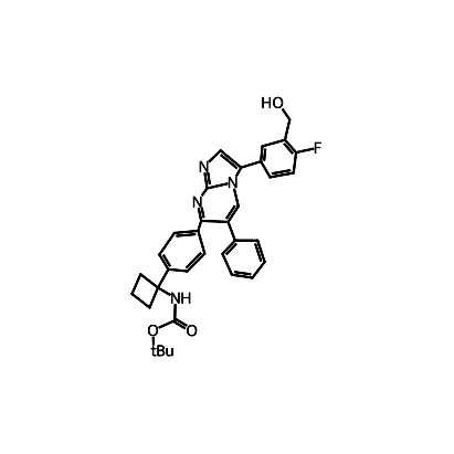 CC(C)(C)OC(=O)NC1(c2ccc(-c3nc4ncc(-c5ccc(F)c(CO)c5)n4cc3-c3ccccc3)cc2)CCC1